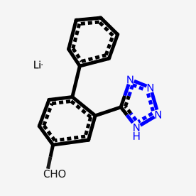 O=Cc1ccc(-c2ccccc2)c(-c2nnn[nH]2)c1.[Li]